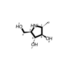 C[C@H]1N[C@H](CO)[C@@H](O)[C@@H]1O